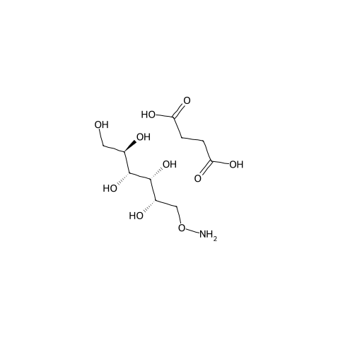 NOC[C@H](O)[C@@H](O)[C@H](O)[C@H](O)CO.O=C(O)CCC(=O)O